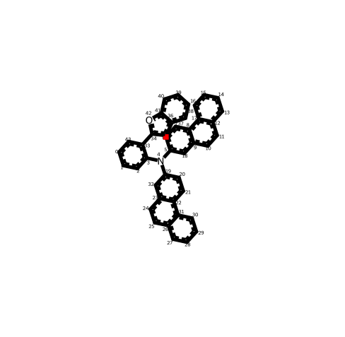 c1ccc(N(c2ccc3c(ccc4ccccc43)c2)c2ccc3c(ccc4ccccc43)c2)c(-c2cc3ccccc3o2)c1